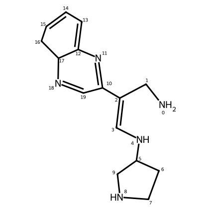 NC/C(=C\NC1CCNC1)C1=NC2=CC=CCC2N=C1